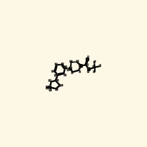 CC(C)(C)OC(=O)N1CCN(c2cccc(C3CCNC3)c2)CC1